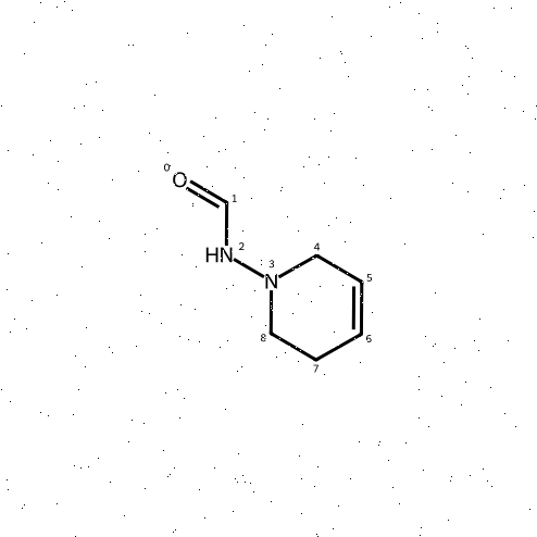 O=CNN1CC=CCC1